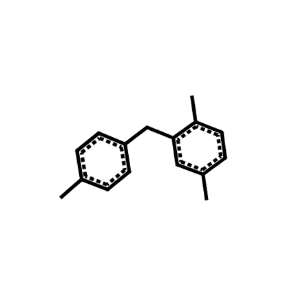 Cc1ccc(Cc2cc(C)ccc2C)cc1